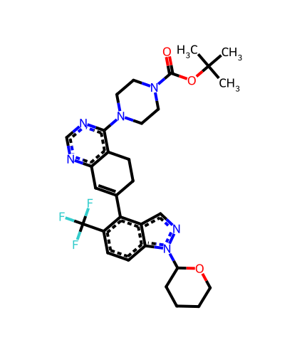 CC(C)(C)OC(=O)N1CCN(c2ncnc3c2CCC(c2c(C(F)(F)F)ccc4c2cnn4C2CCCCO2)=C3)CC1